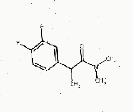 CC(C(=O)N(C)C)c1ccc(F)c(F)c1